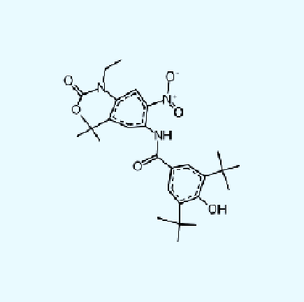 CCN1C(=O)OC(C)(C)c2cc(NC(=O)c3cc(C(C)(C)C)c(O)c(C(C)(C)C)c3)c([N+](=O)[O-])cc21